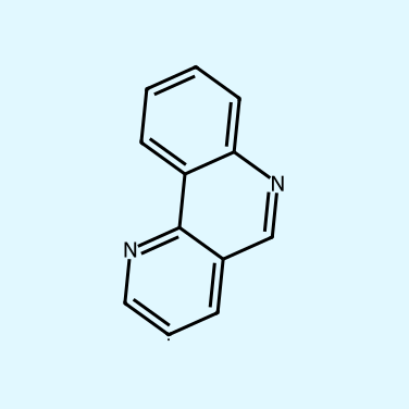 [c]1cnc2c(c1)cnc1ccccc12